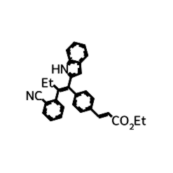 CCOC(=O)/C=C/c1ccc(/C(=C(/CC)c2ccccc2C#N)c2cc3ccccc3[nH]2)cc1